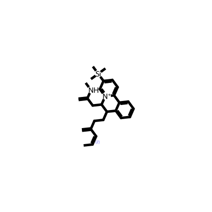 C=C(/C=C\C)CCC1c2ccccc2-c2ccc([Si](C)(C)C)c[n+]2C1CC(=C)NC